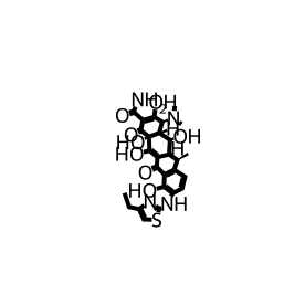 CCc1csc(Nc2ccc3c(c2O)C(=O)C2=C(O)[C@]4(O)C(=O)C(C(N)=O)=C(O)[C@@H](N(C)C)[C@@H]4[C@@H](O)[C@@H]2[C@H]3C)n1